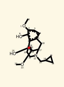 COc1ccc2c(c1O)C13CCN(CC4CC4)C(C2)C1CC(OC)C(O)C3